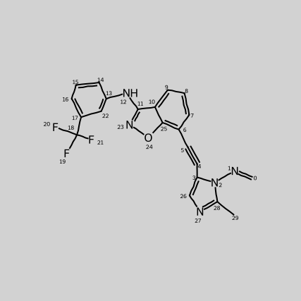 C=Nn1c(C#Cc2cccc3c(Nc4cccc(C(F)(F)F)c4)noc23)cnc1C